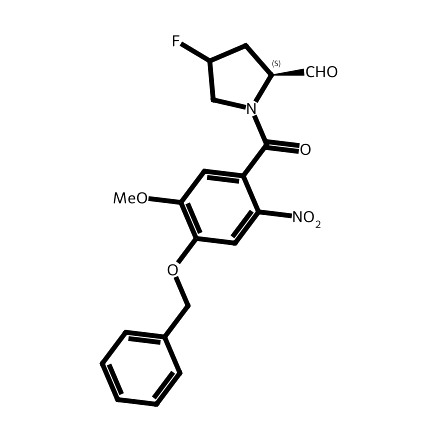 COc1cc(C(=O)N2CC(F)C[C@H]2C=O)c([N+](=O)[O-])cc1OCc1ccccc1